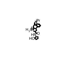 CC(C)n1cc2c3c(cccc31)C1CC(C(=O)N[C@H]3CCC[C@@H]3O)CN(C)[C@@H]1C2